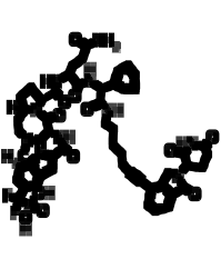 CN1CC[C@H]2CC[C@@H](C(=O)NC(CCC(N)=O)C(=O)NC(C(=O)NCCCCCC#Cc3cccc4c3CN(C3CCC(=O)NC3=O)C4=O)c3ccccc3)N2C(=O)[C@@H](NC(=O)c2cc3cc(C(F)(F)P(=O)(O)O)ccc3[nH]2)C1